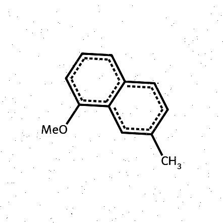 COc1cccc2[c]cc(C)cc12